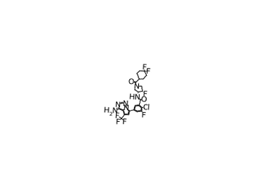 Nc1ncnn2c(-c3cc(F)c(Cl)c(C(=O)N[C@@H]4CN(C(=O)C5CCC(F)(F)CC5)C[C@@H]4F)c3)cc(C(F)(F)F)c12